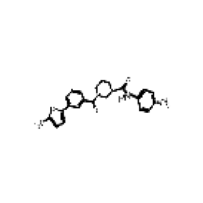 Cc1ccc(NC(=O)C2CCCN(C(=O)c3cccc(-c4ccc(C)o4)c3)C2)cc1